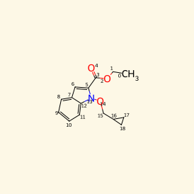 CCOC(=O)c1cc2ccccc2n1OCC1CC1